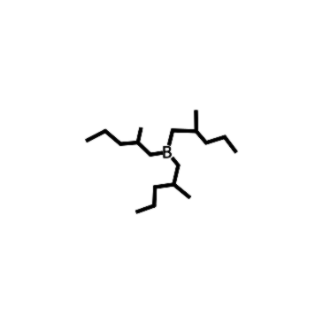 CCCC(C)CB(CC(C)CCC)CC(C)CCC